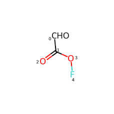 O=CC(=O)OF